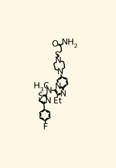 CCc1nc2ccc(N3CCN(SCC(N)=O)CC3)cn2c1N(C)c1nc(-c2ccc(F)cc2)cs1